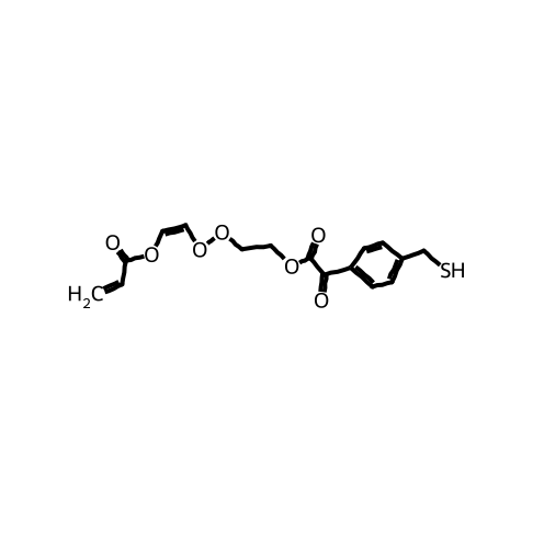 C=CC(=O)O/C=C\OOCCOC(=O)C(=O)c1ccc(CS)cc1